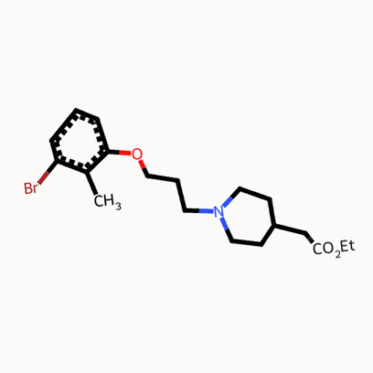 CCOC(=O)CC1CCN(CCCOc2cccc(Br)c2C)CC1